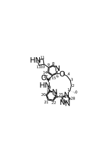 C[C@H]1CCCOc2ncc(C3CNC3)cc2C(=O)Nc2cccc(n2)-c2nncn21